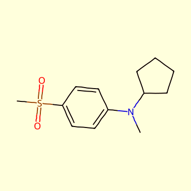 CN(c1ccc(S(C)(=O)=O)cc1)C1CCCC1